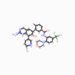 Cc1ccc(C(=O)Nc2cc(C(F)(F)F)ccc2N2CCOCC2)cc1-c1cc2cnc(N)nc2c(-c2ccc(F)nc2)c1O